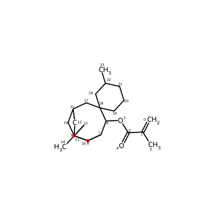 C=C(C)C(=O)OC1C2CC3CC(CC(C)(C3)C2)CC12CCCC(C)C2